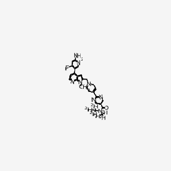 [2H]C([2H])([2H])N(C(=O)c1cnc(C2=CCN(Cc3cc4c(-c5cnc(N)cc5F)ccnc4n3C)CC2)nc1)C([2H])([2H])[2H]